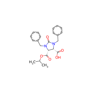 CC(C)OC(=O)[C@H]1[C@@H](C(=O)O)N(Cc2ccccc2)C(=O)N1Cc1ccccc1